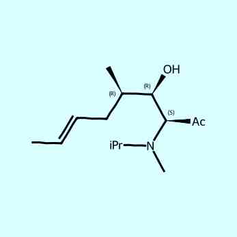 CC=CC[C@@H](C)[C@@H](O)[C@@H](C(C)=O)N(C)C(C)C